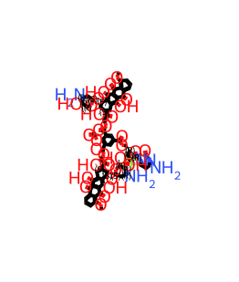 COc1cccc2c1C(=O)c1c(O)c3c(c(O)c1C2=O)C[C@@](O)(C(=O)COC(=O)c1cc(C(=O)OC[C@H]2O[C@@H](n4ccc(N)nc4=O)C(F)(F)[C@H]2O)cc(C(=O)OCC(=O)[C@]2(O)Cc4c(O)c5c(c(O)c4[C@@H](O[C@@H]4C[C@@H](N)[C@@H](O)[C@@H](C)O4)C2)C(=O)c2c(OC)cccc2C5=O)c1OC=O)C[C@@H]3O[C@@H]1C[C@@H](N)[C@@H](O)[C@@H](C)O1